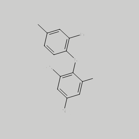 Cc1ccc(Nc2c([N+](=O)[O-])cc([N+](=O)[O-])cc2C(F)(F)F)c(Br)c1